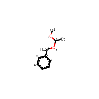 CCOC(CC)O[SiH2]c1ccccc1